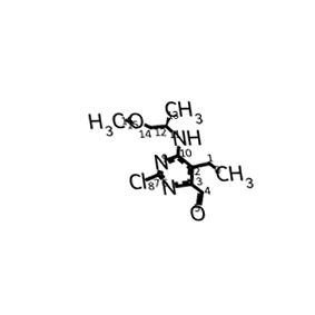 CCc1c(C=O)nc(Cl)nc1N[C@H](C)COC